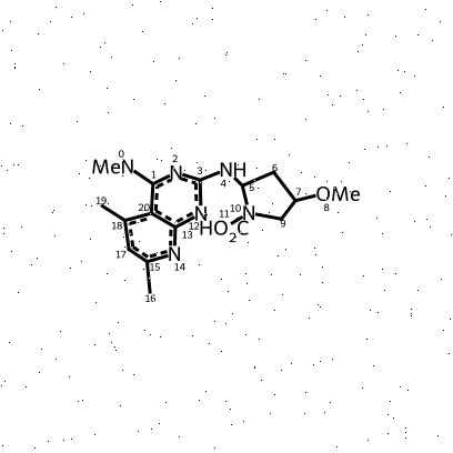 CNc1nc(NC2CC(OC)CN2C(=O)O)nc2nc(C)cc(C)c12